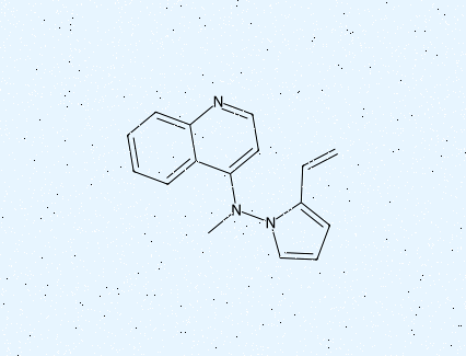 C=Cc1cccn1N(C)c1ccnc2ccccc12